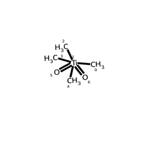 [CH3][Ti]([CH3])([CH3])([CH3])(=[O])=[O]